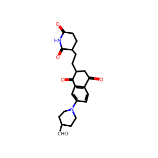 O=CC1CCN(c2ccc3c(c2)C(=O)C(CCC2CCC(=O)NC2=O)CC3=O)CC1